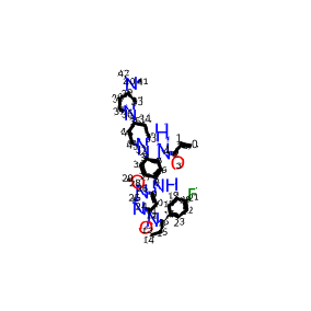 C=CC(=O)Nc1cc(Nc2cc(N3OCC[C@@H]3c3ccc(F)cc3)ncn2)c(OC)cc1N1CCC(N2CC[C@@H](N(C)C)C2)CC1